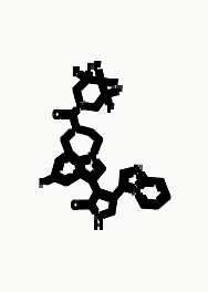 O=C1NCC(c2cnc3ccccn23)=C1c1cn2c3c(cc(F)cc13)CN(C(=O)N1CC(F)(F)C(F)(F)C(F)(F)C1)CC2